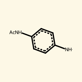 CC(=O)Nc1ccc([NH])cc1